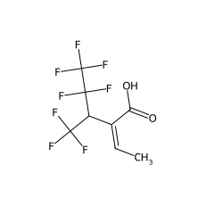 CC=C(C(=O)O)C(C(F)(F)F)C(F)(F)C(F)(F)F